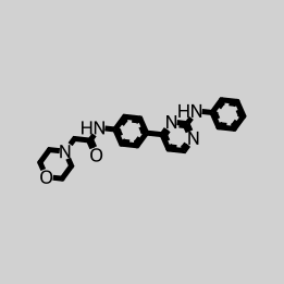 O=C(CN1CCOCC1)Nc1ccc(-c2ccnc(Nc3ccccc3)n2)cc1